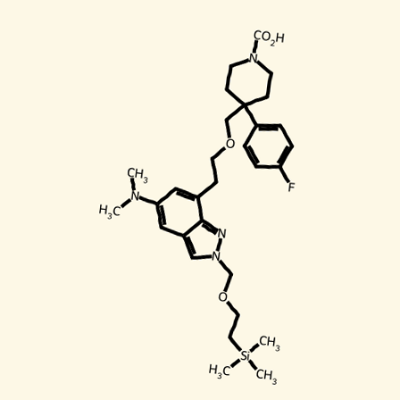 CN(C)c1cc(CCOCC2(c3ccc(F)cc3)CCN(C(=O)O)CC2)c2nn(COCC[Si](C)(C)C)cc2c1